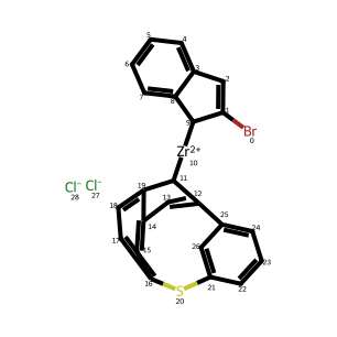 BrC1=Cc2ccccc2[CH]1[Zr+2][CH]1c2cc3cc(ccc31)sc1cccc2c1.[Cl-].[Cl-]